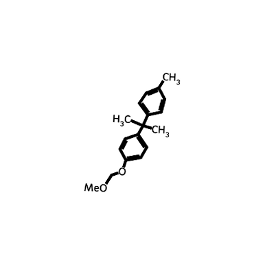 COCOc1ccc(C(C)(C)c2ccc(C)cc2)cc1